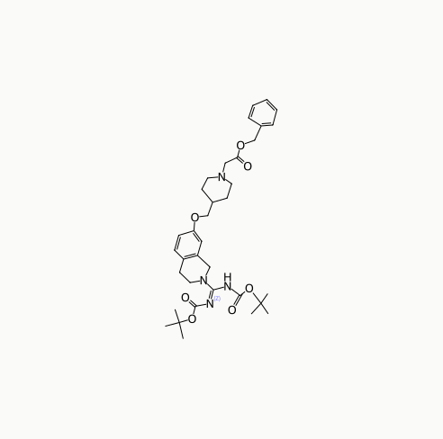 CC(C)(C)OC(=O)/N=C(/NC(=O)OC(C)(C)C)N1CCc2ccc(OCC3CCN(CC(=O)OCc4ccccc4)CC3)cc2C1